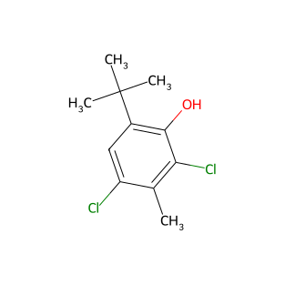 Cc1c(Cl)cc(C(C)(C)C)c(O)c1Cl